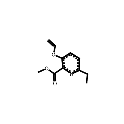 C=COc1ccc(CC)nc1C(=O)OC